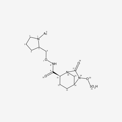 CC(=O)N1CCCC1CONC(=O)[C@@H]1CCC2CN1C(=O)N2OS(=O)(=O)O